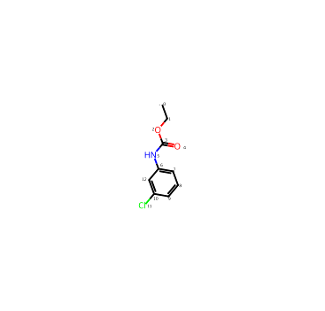 [CH2]COC(=O)Nc1cccc(Cl)c1